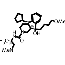 CNC[C@H](C)NC(=O)N1CCC[C@@H](C(O)(CCCCOC)c2ccccc2OC2CCCC2)C1